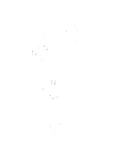 CCO[Si](CCCNC(=O)N(CC1CCCC(CN(CC2CO2)C(=O)NCCC[Si](OCC)(OCC)OCC)C1)CC1CO1)(OCC)OCC